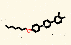 CCCCCCCOc1ccc(-c2ccc(-c3ccc(C)c(C)c3)cc2)cc1